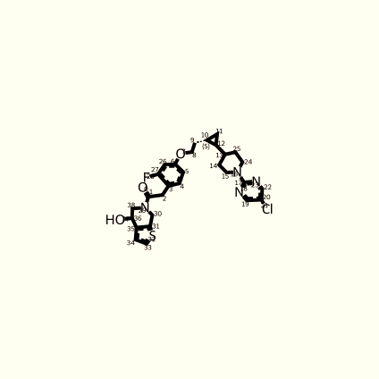 O=C(Cc1ccc(OCC[C@@H]2CC2C2CCN(c3ncc(Cl)cn3)CC2)cc1F)N1Cc2sccc2C(O)C1